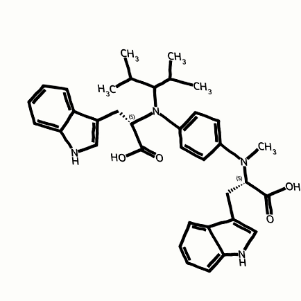 CC(C)C(C(C)C)N(c1ccc(N(C)[C@@H](Cc2c[nH]c3ccccc23)C(=O)O)cc1)[C@@H](Cc1c[nH]c2ccccc12)C(=O)O